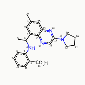 Cc1cc(C(C)Nc2ccccc2C(=O)O)c2ncc(N3CCCC3)nc2c1